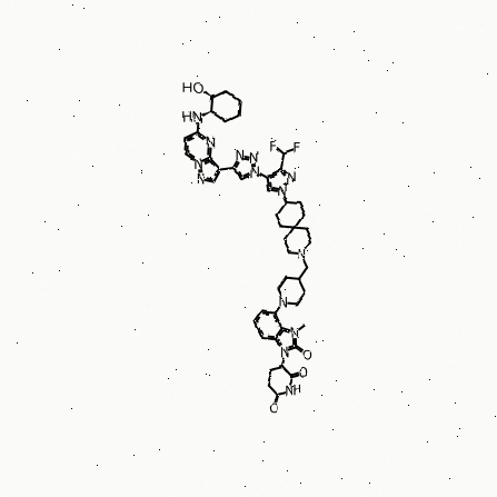 Cn1c(=O)n(C2CCC(=O)NC2=O)c2cccc(N3CCC(CN4CCC5(CCC(n6cc(-n7cc(-c8cnn9ccc(N[C@@H]%10CCCC[C@@H]%10O)nc89)nn7)c(C(F)F)n6)CC5)CC4)CC3)c21